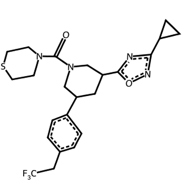 O=C(N1CCSCC1)N1CC(c2ccc(CC(F)(F)F)cc2)CC(c2nc(C3CC3)no2)C1